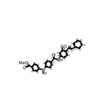 COC(=O)c1ccc(N(C(C)=O)c2ccc(C(=O)Nc3ccc(C=Cc4ccccc4)c(C(=O)O)c3)cc2)cc1